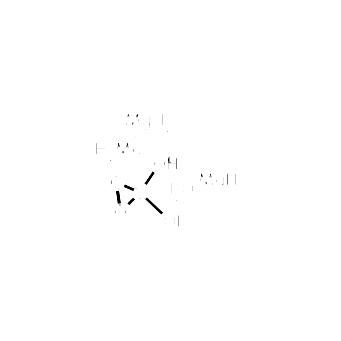 O.OS1(O)OO1.[MgH2].[MgH2].[MgH2]